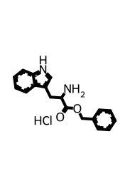 Cl.NC(Cc1c[nH]c2ccccc12)C(=O)OCc1ccccc1